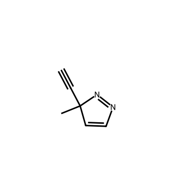 C#CC1(C)C=CN=N1